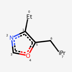 CCc1ncoc1CC(C)C